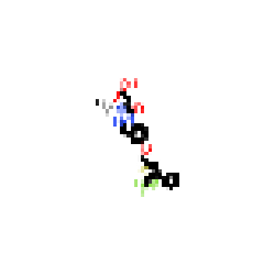 CN[C@@H](CC(=O)O)C(=O)N1CCc2cc(OCc3cc(-c4ccccc4)c(C(F)(F)F)s3)ccc21